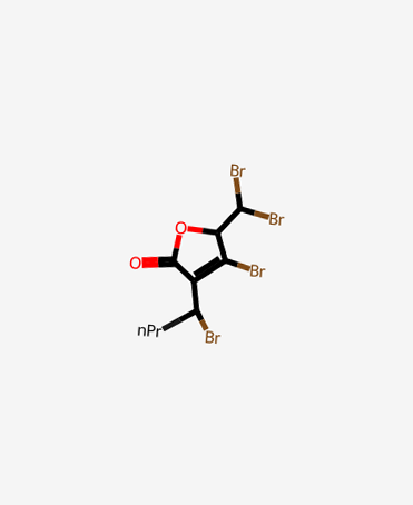 CCCC(Br)C1=C(Br)C(C(Br)Br)OC1=O